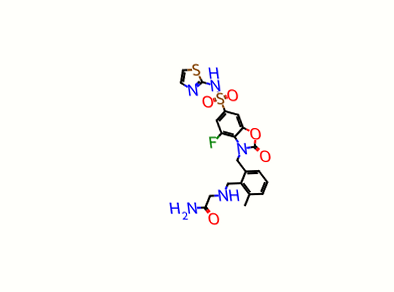 Cc1cccc(Cn2c(=O)oc3cc(S(=O)(=O)Nc4nccs4)cc(F)c32)c1CNCC(N)=O